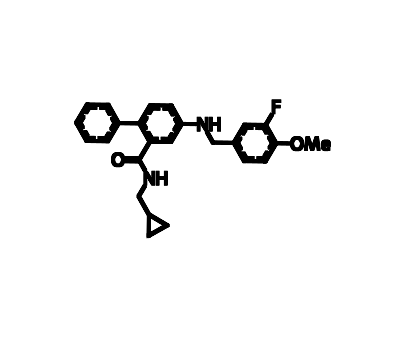 COc1ccc(CNc2ccc(-c3ccccc3)c(C(=O)NCC3CC3)c2)cc1F